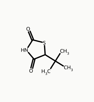 CC(C)(C)C1SC(=O)NC1=O